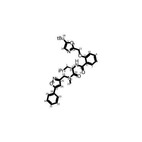 CC(C)C[C@@H](NC(=O)c1ccccc1OCc1ncc(C(C)(C)C)o1)C(=O)N(C)Cc1cc(-c2ccccc2)on1